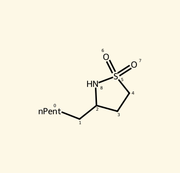 CCCCCCC1CCS(=O)(=O)N1